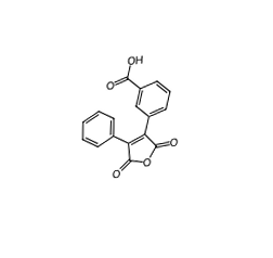 O=C1OC(=O)C(c2cccc(C(=O)O)c2)=C1c1ccccc1